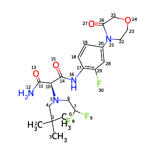 CC(C)(C)CN(CC(F)F)[C@@H](C(N)=O)C(=O)Nc1ccc(N2CCOCC2=O)cc1F